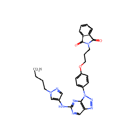 O=C(O)CCCn1cc(Nc2ncc3nnn(-c4ccc(OCCCN5C(=O)c6ccccc6C5=O)cc4)c3n2)cn1